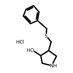 Cl.OC1CNCC1CSCc1ccccc1